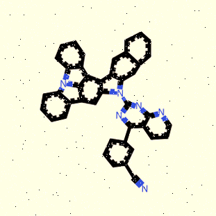 N#Cc1cccc(-c2nc(-n3c4cc5ccccc5cc4c4c5c6ccccc6n6c7ccccc7c(cc43)c56)nc3ncccc23)c1